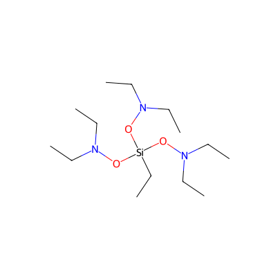 CCN(CC)O[Si](CC)(ON(CC)CC)ON(CC)CC